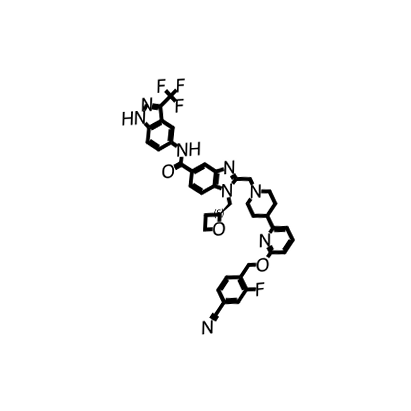 N#Cc1ccc(COc2cccc(C3CCN(Cc4nc5cc(C(=O)Nc6ccc7[nH]nc(C(F)(F)F)c7c6)ccc5n4C[C@@H]4CCO4)CC3)n2)c(F)c1